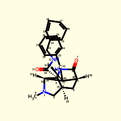 CN1C[C@@H]2C[C@H]3C(=O)N[C@]2(C(=O)NCc2ccccc2)[C@@H]1[C@@H]3Cc1ccccc1